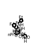 CCCC(CCC)S(=O)(=O)CC(NC(=O)C1=NNC(=O)CC1)C(=O)N[C@@H](Cc1cc(F)cc(F)c1)[C@H](O)CNCc1cccc(CC)c1